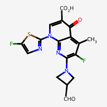 Cc1c(F)c(N2CC(C=O)C2)nc2c1c(=O)c(C(=O)O)cn2-c1ncc(F)s1